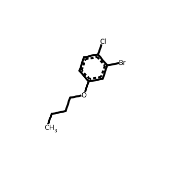 CCCCOc1ccc(Cl)c(Br)c1